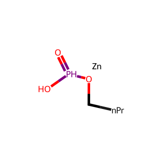 CCCCO[PH](=O)O.[Zn]